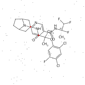 CC(C)(Oc1cc(F)c(Cl)cc1Cl)C(=O)NC1CC2CCC(C1)N2c1ccc(C(=O)N[C@](C)(F)C(F)F)cn1